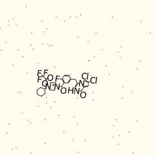 O=C(c1cc(Cc2c[nH]c(=O)c3cc(Cl)c(Cl)n23)ccc1F)N1CC[N+](OC(=O)C(F)(F)F)(C2CCCCC2)CC1